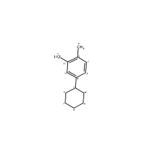 Cc1ccc(C2CCCCC2)cc1O